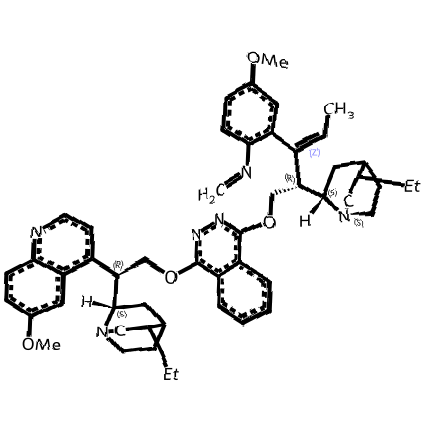 C=Nc1ccc(OC)cc1/C(=C\C)[C@@H](COc1nnc(OC[C@H](c2ccnc3ccc(OC)cc23)[C@@H]2CC3CCN2CC3CC)c2ccccc12)[C@@H]1CC2CC[N@]1CC2CC